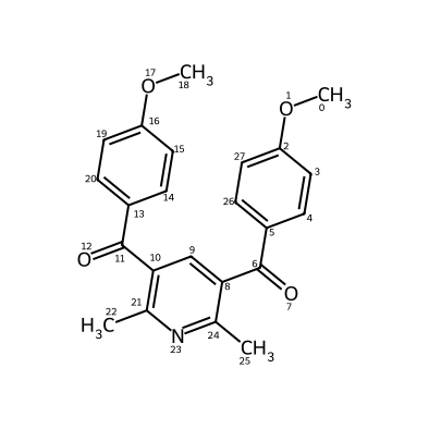 COc1ccc(C(=O)c2cc(C(=O)c3ccc(OC)cc3)c(C)nc2C)cc1